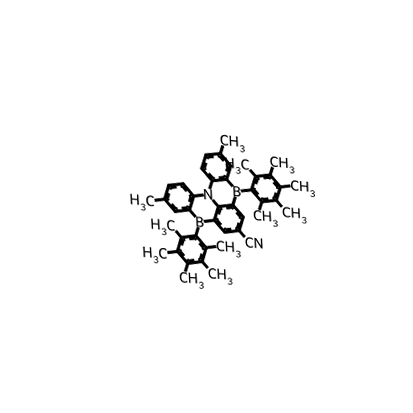 Cc1ccc2c(c1)B(c1c(C)c(C)c(C)c(C)c1C)c1cc(C#N)cc3c1N2c1ccc(C)cc1B3c1c(C)c(C)c(C)c(C)c1C